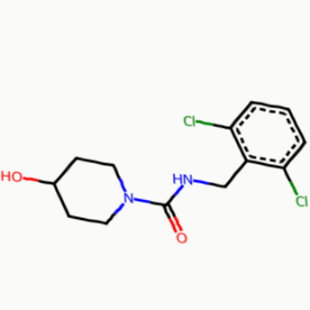 O=C(NCc1c(Cl)cccc1Cl)N1CCC(O)CC1